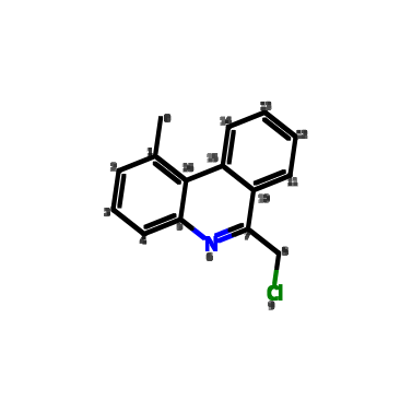 Cc1cccc2nc(CCl)c3ccccc3c12